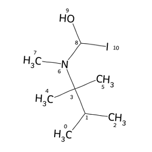 CC(C)C(C)(C)N(C)C(O)I